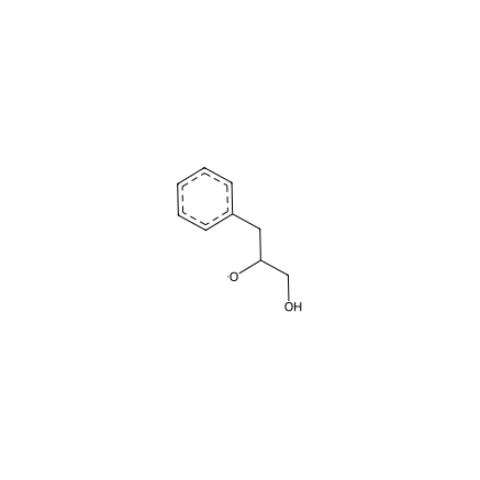 [O]C(CO)Cc1ccccc1